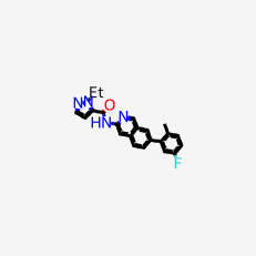 CCn1nccc1C(=O)Nc1cc2ccc(-c3cc(F)ccc3C)cc2cn1